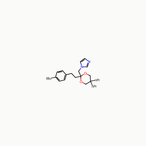 CCCC1(CCC)COC(CCc2ccc(C(C)(C)C)cc2)(Cn2ccnc2)OC1